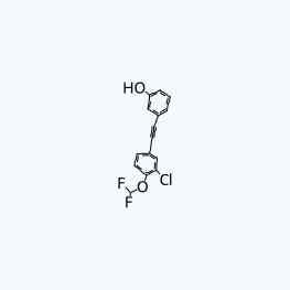 Oc1cccc(C#Cc2ccc(OC(F)F)c(Cl)c2)c1